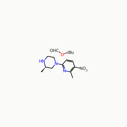 CC(C)(C)OC=O.Cc1nc(N2CCN[C@H](C)C2)ccc1[N+](=O)[O-]